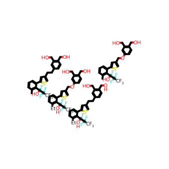 CCc1cccc(-c2cc(CCc3ccc(CO)c(CO)c3)cs2)c1C(O)(F)C(F)(F)C(F)(F)F.CCc1cccc(-c2cc(COc3ccc(CO)c(CO)c3)cs2)c1C(O)(F)C(F)(F)C(F)(F)F.Cc1cccc(-c2cc(CCc3ccc(CO)c(CO)c3)cs2)c1C(O)(F)C(F)(F)C(F)(F)F.Cc1cccc(-c2cc(COc3ccc(CO)c(CO)c3)cs2)c1C(O)(F)C(F)(F)C(F)(F)F